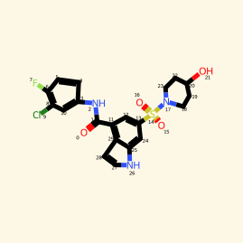 O=C(Nc1ccc(F)c(Cl)c1)c1cc(S(=O)(=O)N2CCC(O)CC2)cc2[nH]ccc12